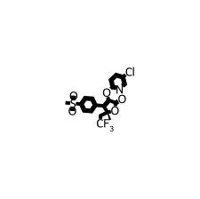 C[C@]1(CC(F)(F)F)OC(=O)C(Oc2ccc(Cl)cn2)=C1c1ccc(S(C)(=O)=O)cc1